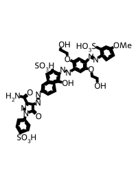 COc1ccc(/N=N/c2cc(OCCO)c(/N=N/c3c(S(=O)(=O)O)cc4cc(/N=N/C5C(=O)N(c6ccc(S(=O)(=O)O)cc6)N=C5C(N)=O)ccc4c3O)cc2OCCO)c(S(=O)(=O)O)c1